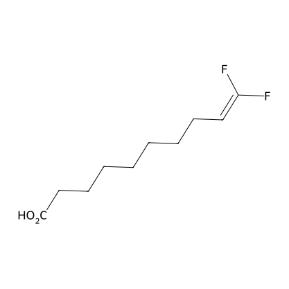 O=C(O)CCCCCCCC=C(F)F